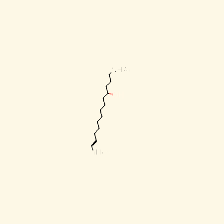 CCCCCCCC=CCCCCCCCC(O)CCCNC(C)=O